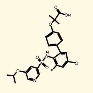 CC(C)Oc1cncc(S(=O)(=O)Nc2c(F)cc(Cl)cc2-c2ccc(OC(C)(C)C(=O)O)cc2)c1